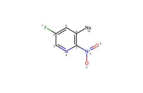 O=[N+]([O-])c1ncc(F)c[c]1[Na]